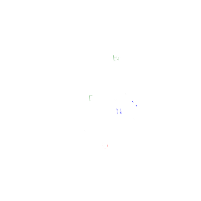 Fc1cc(Br)cc2ncn(C3CCCOC3)c12